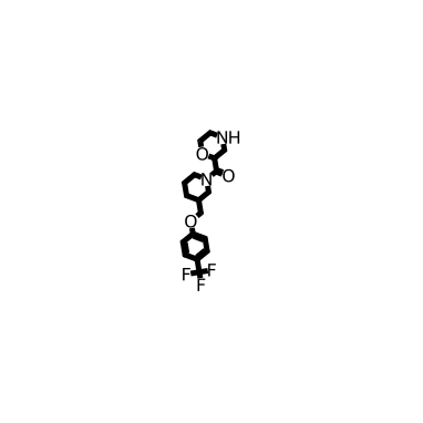 O=C(C1CNCCO1)N1CCCC(COc2ccc(C(F)(F)F)cc2)C1